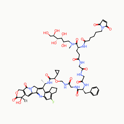 CC[C@@]1(O)C(=O)OCc2c1cc1n(c2=O)Cc2c-1nc1cc(F)c3c(c1c2[C@H](C)NC(=O)[C@H](OCNC(=O)CNC(=O)[C@H](Cc1ccccc1)NC(=O)CNC(=O)CNC(=O)CC[C@H](NC(=O)CCCCCN1C(=O)C=CC1=O)C(=O)N(C)C[C@H](O)[C@@H](O)[C@H](O)[C@H](O)CO)C1CC1)CCC3